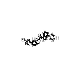 CCc1nsc(-c2ccc(C)c(NCC(=O)N3CCc4c(N5CCNCC5)cccc43)c2)n1